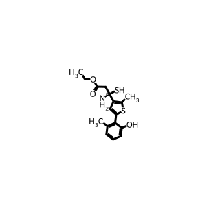 CCOC(=O)C[C@](N)(S)c1cc(-c2c(C)cccc2O)sc1C